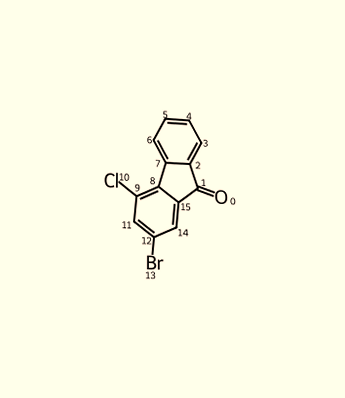 O=C1c2ccccc2-c2c(Cl)cc(Br)cc21